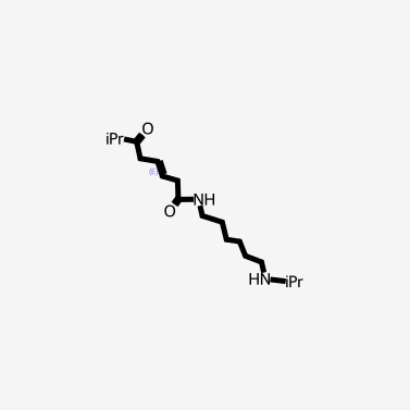 CC(C)NCCCCCCNC(=O)C/C=C/CC(=O)C(C)C